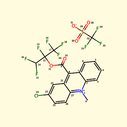 C[n+]1c2ccccc2c(C(=O)OC(F)(C(F)F)C(F)(F)F)c2cc(Cl)ccc21.O=S(=O)([O-])C(F)(F)F